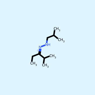 CC/C(=N/NCC(C)C)C(C)C